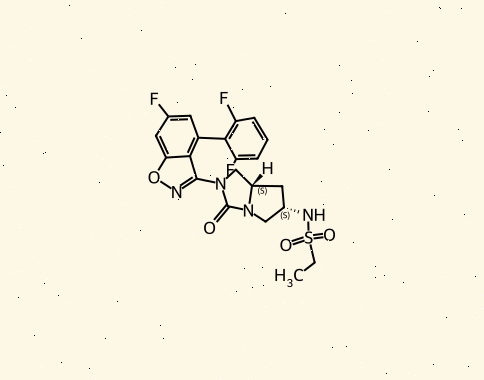 CCS(=O)(=O)N[C@H]1C[C@H]2CN(c3noc4cc(F)cc(-c5c(F)cccc5F)c34)C(=O)N2C1